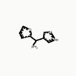 NC(c1cn[nH]c1)c1ccco1